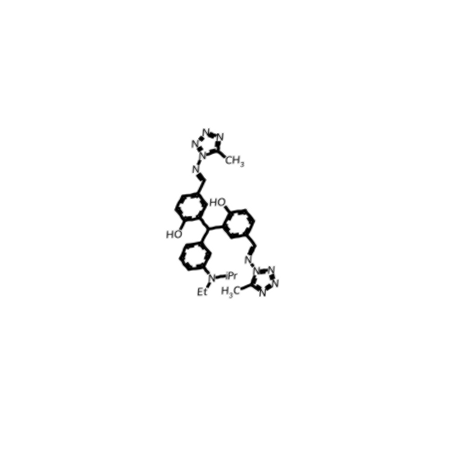 CCN(c1cccc(C(c2cc(C=Nn3nnnc3C)ccc2O)c2cc(C=Nn3nnnc3C)ccc2O)c1)C(C)C